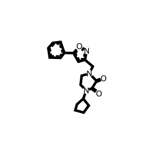 O=C1C(=O)N(C2CCCC2)CCN1Cc1cc(-c2ccccc2)on1